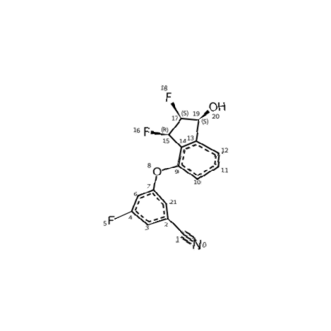 N#Cc1cc(F)cc(Oc2cc[c]c3c2[C@@H](F)[C@@H](F)[C@H]3O)c1